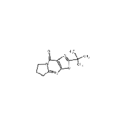 CC(C)(C)c1nc2c(=O)n3c(nc2o1)CCC3